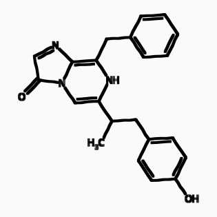 CC(Cc1ccc(O)cc1)c1cn2c(=O)cnc-2c(Cc2ccccc2)[nH]1